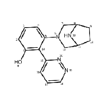 Oc1cccc(N2CC3CCC(C2)N3)c1-c1cccnn1